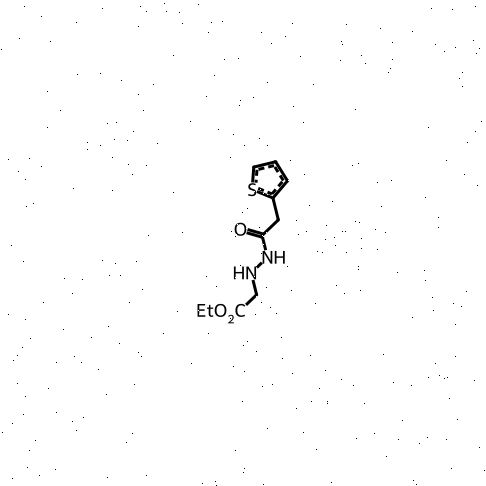 CCOC(=O)CNNC(=O)Cc1cccs1